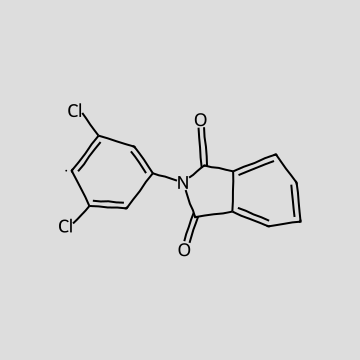 O=C1c2ccccc2C(=O)N1c1cc(Cl)[c]c(Cl)c1